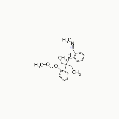 CCC(CC)(Pc1ccccc1/C=N/C)c1ccccc1OCOC